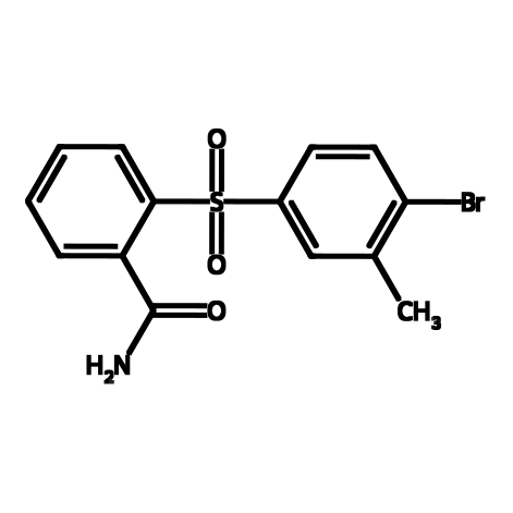 Cc1cc(S(=O)(=O)c2ccccc2C(N)=O)ccc1Br